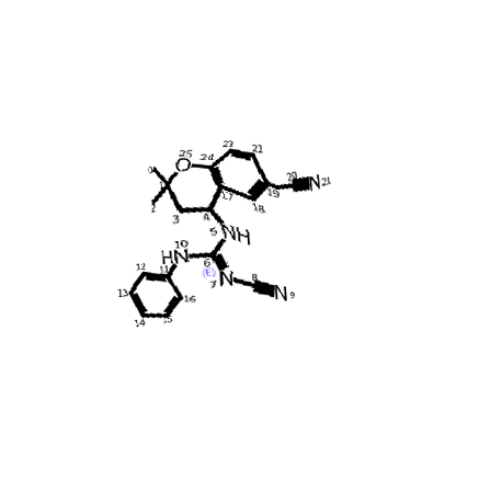 CC1(C)CC(N/C(=N\C#N)Nc2ccccc2)c2cc(C#N)ccc2O1